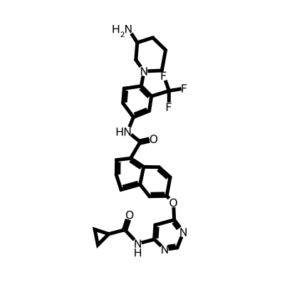 NC1CCCN(c2ccc(NC(=O)c3cccc4cc(Oc5cc(NC(=O)C6CC6)ncn5)ccc34)cc2C(F)(F)F)C1